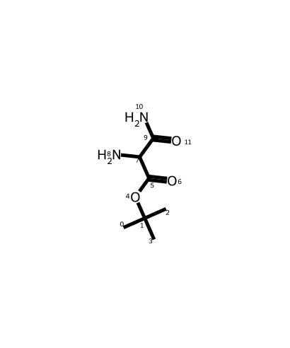 CC(C)(C)OC(=O)C(N)C(N)=O